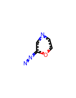 [N-]=[N+]=c1cncco1